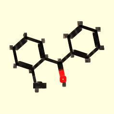 CCCCc1ccccc1C(=O)c1ccccc1